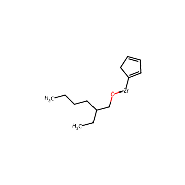 CCCCC(CC)C[O][Zr][C]1=CC=CC1